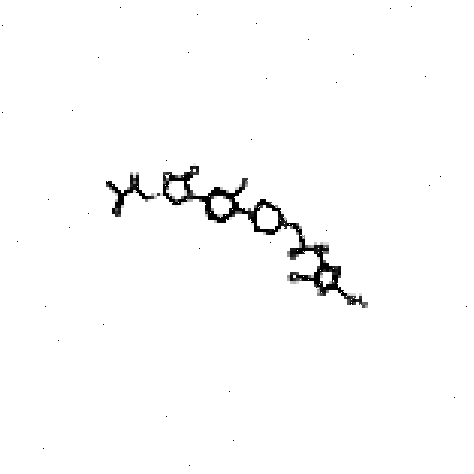 CC(=O)NC[C@H]1CN(c2ccc(N3CCN(CC(=O)Nc4nc(N)sc4Cl)CC3)c(F)c2)C(=O)O1